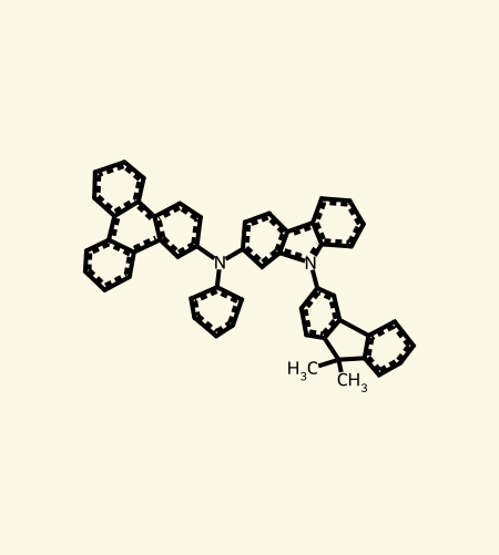 CC1(C)c2ccccc2-c2cc(-n3c4ccccc4c4ccc(N(c5ccccc5)c5ccc6c7ccccc7c7ccccc7c6c5)cc43)ccc21